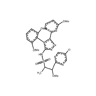 COc1cccc(-c2nnc(NS(=O)(=O)C(C)C(OC)c3ncc(Cl)cn3)n2-c2c(OC)cccc2OC)n1